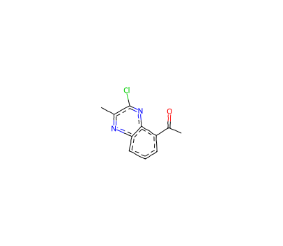 CC(=O)c1cccc2nc(C)c(Cl)nc12